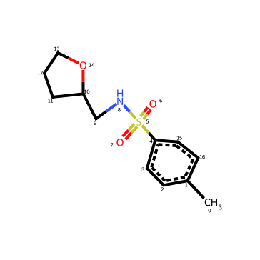 Cc1ccc(S(=O)(=O)NCC2CCCO2)cc1